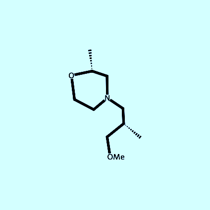 COC[C@@H](C)CN1CCO[C@H](C)C1